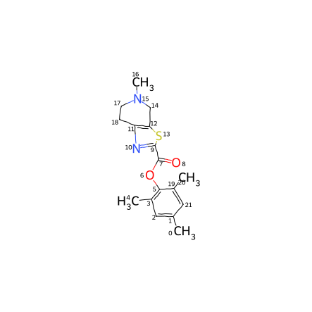 Cc1cc(C)c(OC(=O)c2nc3c(s2)CN(C)CC3)c(C)c1